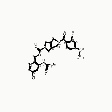 CC(C)(C)C(=O)Nc1cc(Cl)cnc1COC(=O)N1CC2=C(C1)CN(C(=O)c1ccc(SN)cc1F)C2